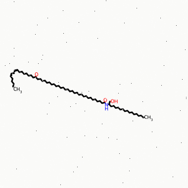 CCCCC/C=C\C/C=C\CCCCCCCC(=O)CCCCCCCCCCCCCCCCCCCCCCCCCCCCCC(=O)NC(CO)CCCCCCCCCCCCCCCC